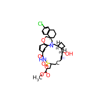 COC(=O)CCC1CC/C=C/[C@H](O)[C@@H]2CC[C@H]2CN2C[C@@]3(CCCc4cc(Cl)ccc43)COc3ccc(cc32)C(=O)NS1(=O)=O